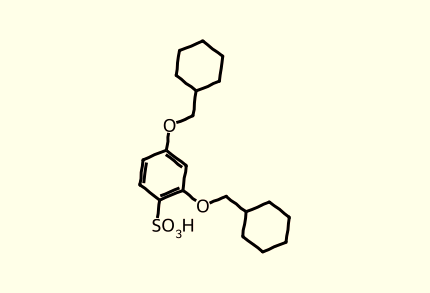 O=S(=O)(O)c1ccc(OCC2CCCCC2)cc1OCC1CCCCC1